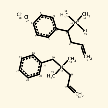 C=CCC(c1ccccc1)[N+](C)(C)CC.C=CC[N+](C)(C)Cc1ccccc1.[Cl-].[Cl-]